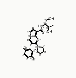 C[C@@H](O)[C@H](CO)NC(=O)c1cnn2ccc(N3CCC[C@@H]3c3cc(F)ccc3F)nc12